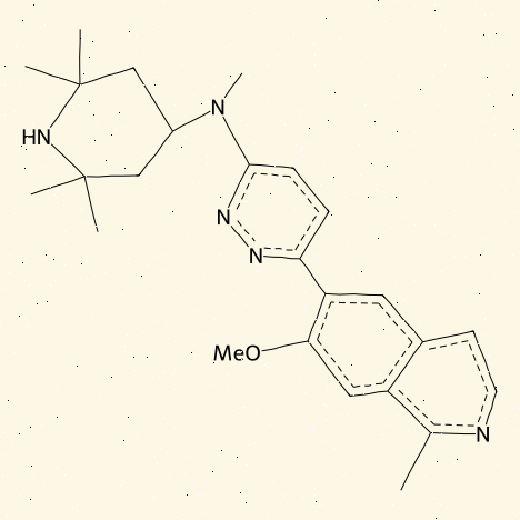 COc1cc2c(C)nccc2cc1-c1ccc(N(C)C2CC(C)(C)NC(C)(C)C2)nn1